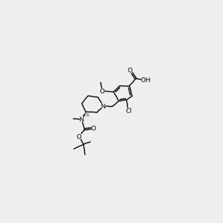 COc1cc(C(=O)O)cc(Cl)c1CN1CCC[C@H](N(C)C(=O)OC(C)(C)C)C1